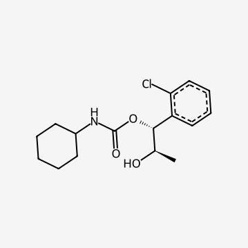 C[C@@H](O)[C@H](OC(=O)NC1CCCCC1)c1ccccc1Cl